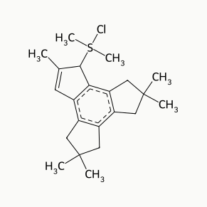 CC1=Cc2c3c(c4c(c2C1S(C)(C)Cl)CC(C)(C)C4)CC(C)(C)C3